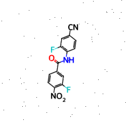 N#Cc1ccc(NC(=O)c2ccc([N+](=O)[O-])c(F)c2)c(F)c1